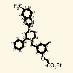 CCOC(=O)COc1cc(C)cc(CN2CCN(c3nc4ccc(C(F)(F)F)cc4s3)CC2c2ccccc2)c1